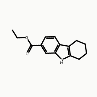 CCOC(=O)c1ccc2c3c([nH]c2c1)CCCC3